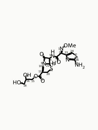 CON=C(C(=O)NC1C(=O)N2C=C(C(=O)OCC(O)CO)CS[C@H]12)c1csc(N)n1